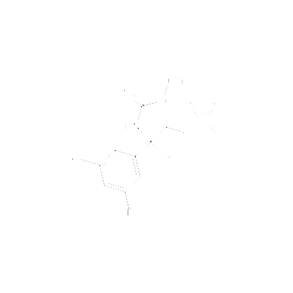 CC(C)(C)OC(=O)NC(O)(COS(C)(=O)=O)c1cc(F)cc(Cl)c1